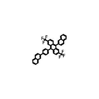 FC(F)(F)c1ccc2c(-c3ccc4ccccc4c3)c3cc(C(F)(F)F)ccc3c(-c3ccc(-c4ccc5ccccc5c4)cc3)c2c1